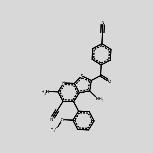 COc1ccccc1-c1c(C#N)c(N)nc2sc(C(=O)c3ccc(C#N)cc3)c(N)c12